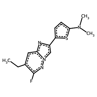 CCc1cc2nc(-c3ccc(N(C)C)s3)cn2nc1F